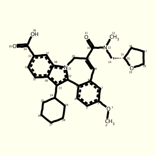 COc1ccc2c(c1)C=C(C(=O)N(C)C[C@@H]1CCCO1)Cn1c-2c(C2CCCCC2)c2ccc(C(=O)O)cc21